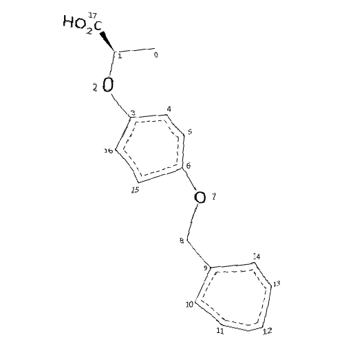 C[C@@H](Oc1ccc(OCc2ccccc2)cc1)C(=O)O